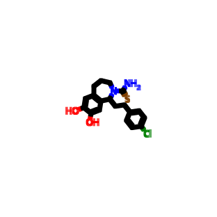 NC(=S)N1CCCc2cc(O)c(O)cc2C1CCc1ccc(Cl)cc1